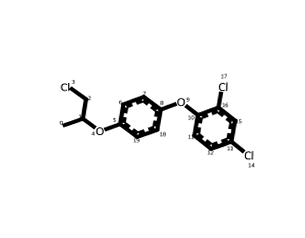 CC(CCl)Oc1ccc(Oc2ccc(Cl)cc2Cl)cc1